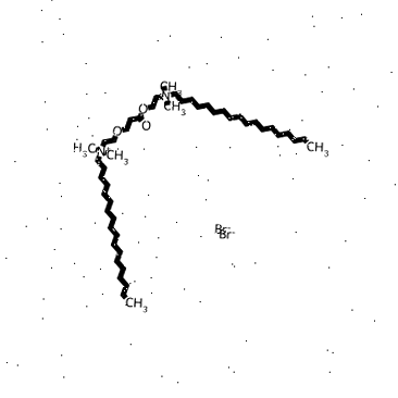 CCCCCCCCCCCCCCCCCC[N+](C)(C)CCOCCC(=O)OCC[N+](C)(C)CCCCCCCCCCCCCCCCCC.[Br-].[Br-]